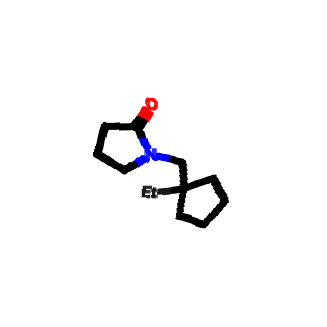 [CH2]CC1(CN2CCCC2=O)CCCC1